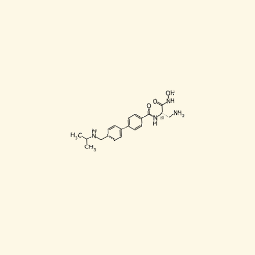 CC(C)NCc1ccc(-c2ccc(C(=O)N[C@@H](CN)C(=O)NO)cc2)cc1